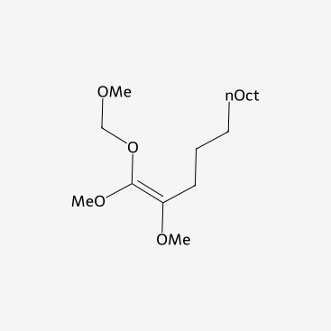 CCCCCCCCCCCC(OC)=C(OC)OCOC